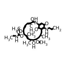 C=CCNC1=C2C[C@@H](C)C[C@H](OC)[C@H](O)[C@@H](C)/C=C(\C)[C@H](OC(=O)NCC)[C@H](OC)/C=C\C=C(/C)C(=O)NC(=CC1=O)C2=O